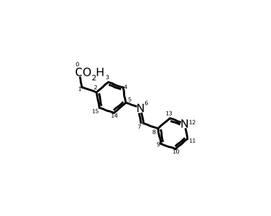 O=C(O)Cc1ccc(N=Cc2cccnc2)cc1